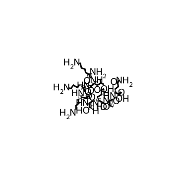 CC(C)C[C@H](NC(=O)[C@@H](N)CCCCN)C(=O)N[C@@H](CCCCN)C(=O)N[C@@H](CCCCN)C(=O)N[C@H](C(=O)N[C@@H](CCC(=O)O)C(=O)N[C@H](C(=O)N[C@@H](CCC(N)=O)C(=O)O)[C@@H](C)O)[C@@H](C)O